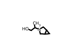 CC(CO)N1CC2CC2C1